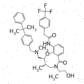 C[C@@H]1CN([C@@H](C)CO)C(=O)c2cccc(NC(=O)Cc3ccc(C(F)(F)F)cc3)c2O[C@@H]1CN(C)Cc1ccc(C(C)(C)c2ccccc2)cc1